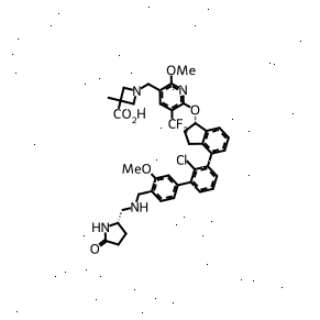 COc1cc(-c2cccc(-c3cccc4c3CC[C@@H]4Oc3nc(OC)c(CN4CC(C)(C(=O)O)C4)cc3C(F)(F)F)c2Cl)ccc1CNC[C@@H]1CCC(=O)N1